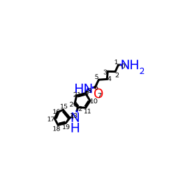 NCCCCCC(=O)Nc1ccc(Nc2ccccc2)cc1